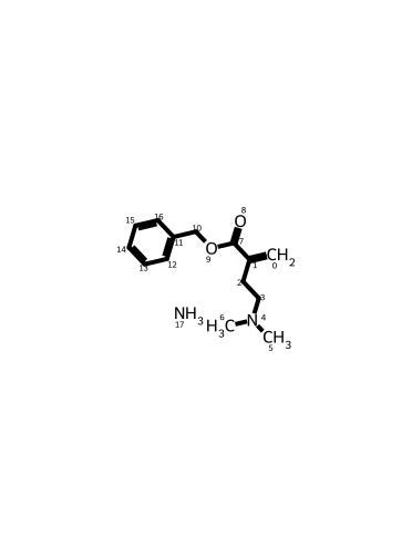 C=C(CCN(C)C)C(=O)OCc1ccccc1.N